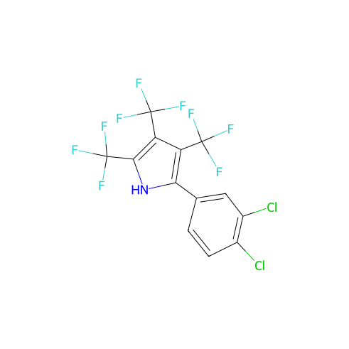 FC(F)(F)c1[nH]c(-c2ccc(Cl)c(Cl)c2)c(C(F)(F)F)c1C(F)(F)F